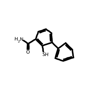 NC(=O)c1cccc(-c2ccccc2)c1S